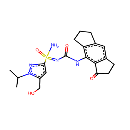 CC(C)n1nc(S(N)(=O)=NC(=O)Nc2c3c(cc4c2C(=O)CC4)CCC3)cc1CO